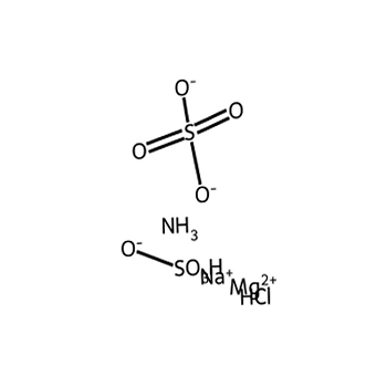 Cl.N.O=S(=O)([O-])O.O=S(=O)([O-])[O-].[Mg+2].[Na+]